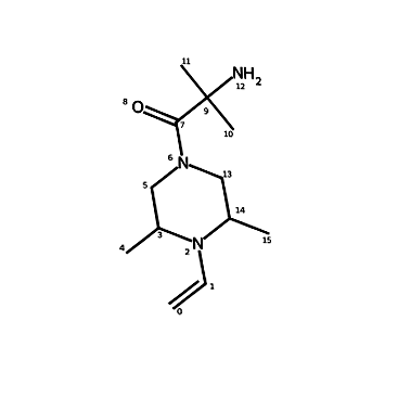 C=CN1C(C)CN(C(=O)C(C)(C)N)CC1C